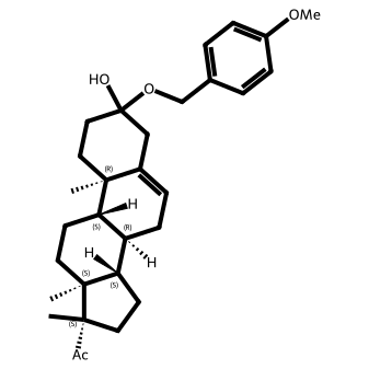 COc1ccc(COC2(O)CC[C@@]3(C)C(=CC[C@@H]4[C@@H]3CC[C@@]3(C)[C@H]4CC[C@]3(C)C(C)=O)C2)cc1